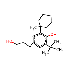 CC(C)(C)c1cc(CCCO)cc(C2(C)CCCCC2)c1O